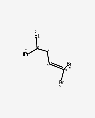 CCC(CC=C(Br)Br)C(C)C